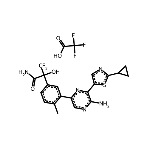 Cc1ccc(C(O)(C(N)=O)C(F)(F)F)cc1-c1cnc(N)c(-c2cnc(C3CC3)s2)n1.O=C(O)C(F)(F)F